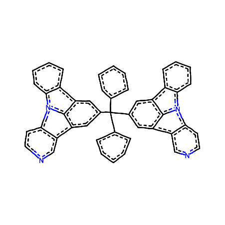 c1ccc(C(c2ccccc2)(c2cc3c4ccccc4n4c5ccncc5c(c2)c34)c2cc3c4ccccc4n4c5ccncc5c(c2)c34)cc1